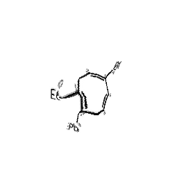 CCc1cc(Br)cc[c]1[Pb]